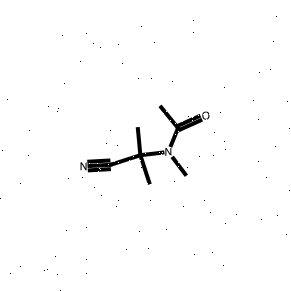 CC(=O)N(C)C(C)(C)C#N